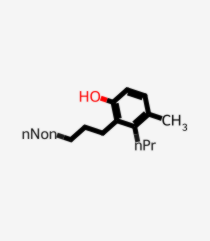 CCCCCCCCCCCCc1c(O)ccc(C)c1CCC